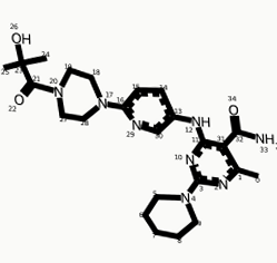 Cc1nc(N2CCCCC2)nc(Nc2ccc(N3CCN(C(=O)C(C)(C)O)CC3)nc2)c1C(N)=O